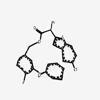 CC(C)C(C(=O)OCc1ccc(F)c(Oc2ccccc2)c1)c1cc2cc(Cl)ccc2s1